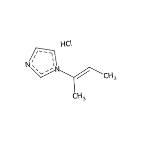 CC=C(C)n1ccnc1.Cl